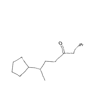 CC(C)CC(=O)CCC(C)C1CCCC1